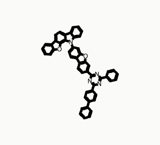 c1ccc(-c2ccc(-c3nc(-c4ccccc4)nc(-c4ccc5c(c4)oc4cc(-n6c7ccccc7c7ccc8c9ccccc9oc8c76)ccc45)n3)cc2)cc1